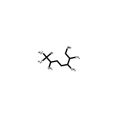 [CH2]C(CCC(C)C(C)(C)CC)C(C)CC(C)(C)C